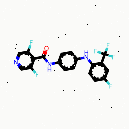 O=C(Nc1ccc(Nc2ccc(F)cc2C(F)(F)F)cc1)c1c(F)cncc1F